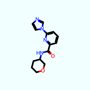 O=C(NC1CCCOC1)c1cccc(-n2ccnc2)n1